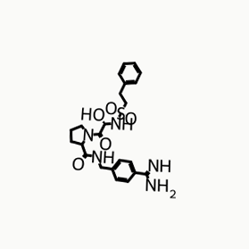 N=C(N)c1ccc(CNC(=O)C2CCCN2C(=O)[C@@H](O)NS(=O)(=O)CCc2ccccc2)cc1